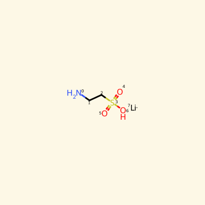 NCCS(=O)(=O)O.[Li]